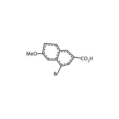 COc1ccc2cc(C(=O)O)cc(Br)c2c1